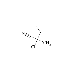 CC(Cl)(C#N)CI